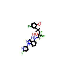 COc1ccc(F)cc1C(C)(C)CC(O)(CNc1cccc2c1cnn2-c1ccc(F)nc1)C(F)(F)F